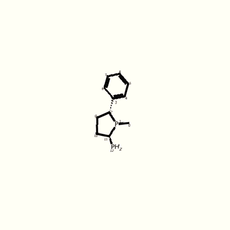 CP1[C@@H](c2ccccc2)CC[C@@H]1P